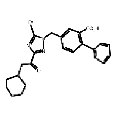 CCc1nc(C(=O)CC2CCCCC2)nn1Cc1ccc(-c2ccccc2)c(C(=O)O)c1